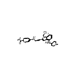 CN1CCC(Nc2cccc3c2cc(C#CCNc2ccc(C(=O)N(C)C)nc2)n3CC(F)(F)F)CC1